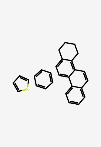 c1ccc2c(c1)ccc1c3c(ccc12)CCCC3.c1ccccc1.c1ccsc1